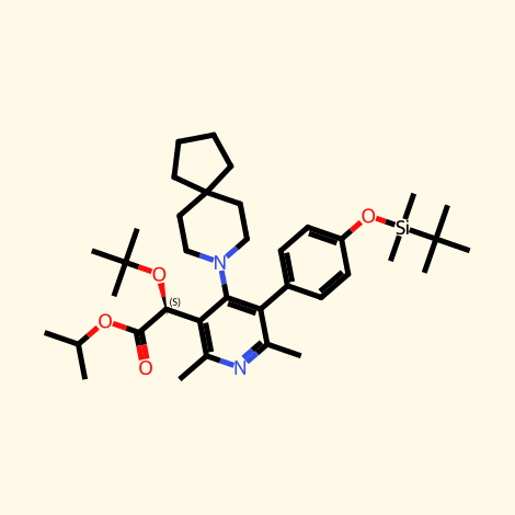 Cc1nc(C)c([C@H](OC(C)(C)C)C(=O)OC(C)C)c(N2CCC3(CCCC3)CC2)c1-c1ccc(O[Si](C)(C)C(C)(C)C)cc1